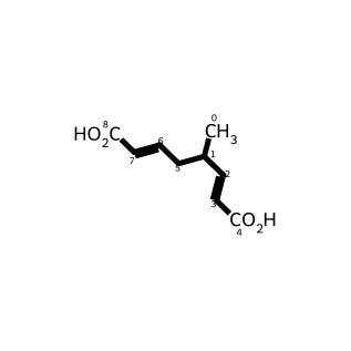 CC(C=CC(=O)O)CC=CC(=O)O